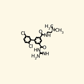 CN(C)CCNC(=O)c1cc(C(=O)NC(=N)N)cc(-c2cc(Cl)ccc2Cl)c1